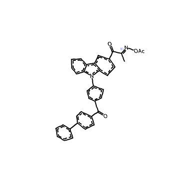 CC(=O)O/N=C(\C)C(=O)c1ccc2c(c1)c1ccccc1n2-c1ccc(C(=O)c2ccc(-c3ccccc3)cc2)cc1